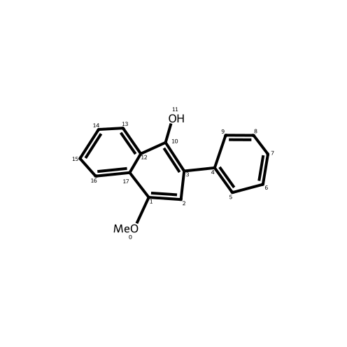 COc1cc(-c2ccccc2)c(O)c2ccccc12